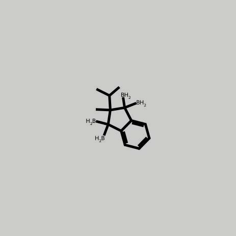 BC1(B)c2ccccc2C(B)(B)C1(C)C(C)C